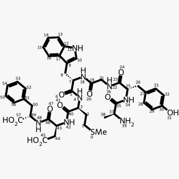 CSCC[C@H](NC(=O)[C@H](Cc1c[nH]c2ccccc12)NC(=O)CNC(=O)[C@H](Cc1ccc(O)cc1)NC(=O)[C@H](C)N)C(=O)N[C@@H](CC(=O)O)C(=O)N[C@@H](Cc1ccccc1)C(=O)O